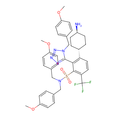 COc1ccc(CN(Cc2ccc(OC)cc2)S(=O)(=O)c2c(C(F)(F)F)ccc([C@H]3CC[C@H](N)CC3)c2-c2nnnn2Cc2ccc(OC)cc2)cc1